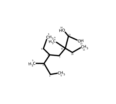 CCC(C)C(CC)CC(C)(CC)C(O)O